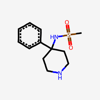 CS(=O)(=O)NC1(c2ccccc2)CCNCC1